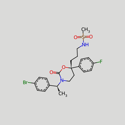 C[C@@H](c1ccc(Br)cc1)N1CC[C@@](CCCNS(C)(=O)=O)(c2ccc(F)cc2)OC1=O